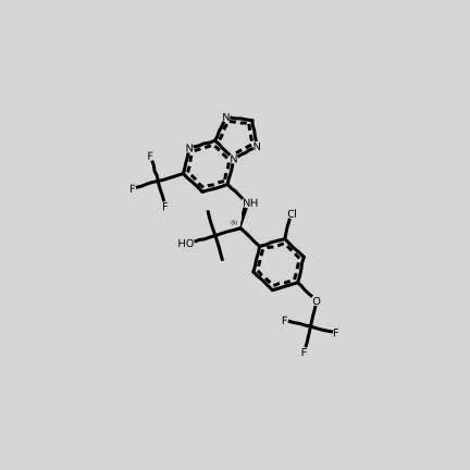 CC(C)(O)[C@@H](Nc1cc(C(F)(F)F)nc2ncnn12)c1ccc(OC(F)(F)F)cc1Cl